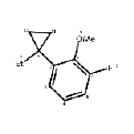 CCC1(c2cccc(F)c2OC)[CH]C1